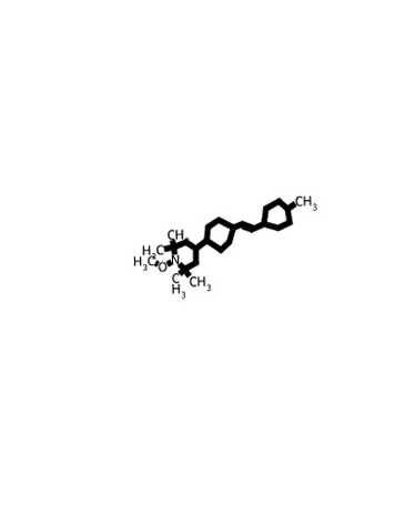 CON1C(C)(C)CC(C2CCC(/C=C/C3CCC(C)CC3)CC2)CC1(C)C